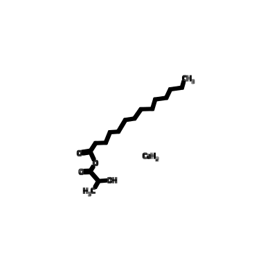 CCCCCCCCCCCCCC(=O)OC(=O)C(C)O.[CaH2]